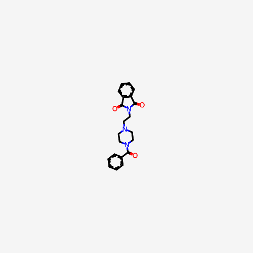 O=C(c1ccccc1)N1CCN(CCN2C(=O)c3ccccc3C2=O)CC1